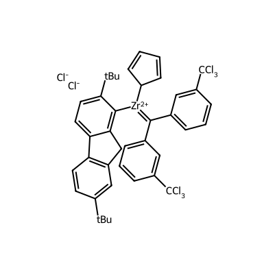 CC(C)(C)c1ccc2c(c1)Cc1c-2ccc(C(C)(C)C)[c]1[Zr+2](=[C](c1cccc(C(Cl)(Cl)Cl)c1)c1cccc(C(Cl)(Cl)Cl)c1)[CH]1C=CC=C1.[Cl-].[Cl-]